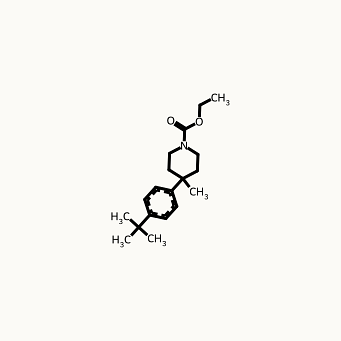 CCOC(=O)N1CCC(C)(c2ccc(C(C)(C)C)cc2)CC1